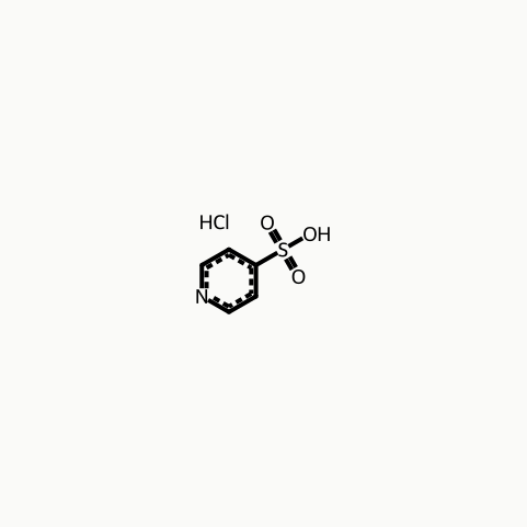 Cl.O=S(=O)(O)c1ccncc1